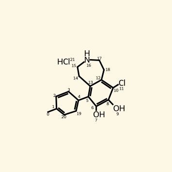 Cc1ccc(-c2c(O)c(O)c(Cl)c3c2CCNCC3)cc1.Cl